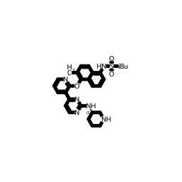 CCC(C)S(=O)(=O)Nc1cccc2c(Oc3ncccc3-c3ccnc(N[C@H]4CCCNC4)n3)c(C)ccc12